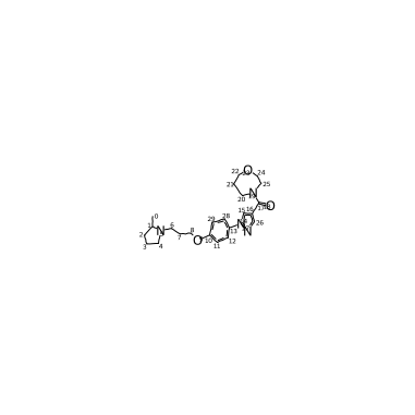 CC1CCCN1CCCOc1ccc(-n2cc(C(=O)N3CCCOCC3)cn2)cc1